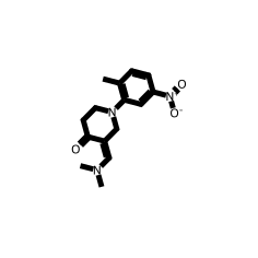 Cc1ccc([N+](=O)[O-])cc1N1CCC(=O)/C(=C\N(C)C)C1